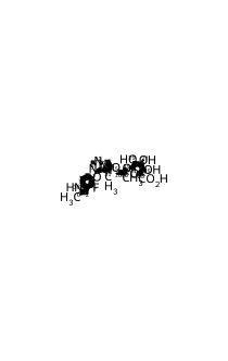 Cc1cc2c(F)c(Oc3ncnn4cc(OC[C@@H](C)O[C@@H]5O[C@H](C(=O)O)[C@@H](O)[C@H](O)[C@H]5O)c(C)c34)ccc2[nH]1